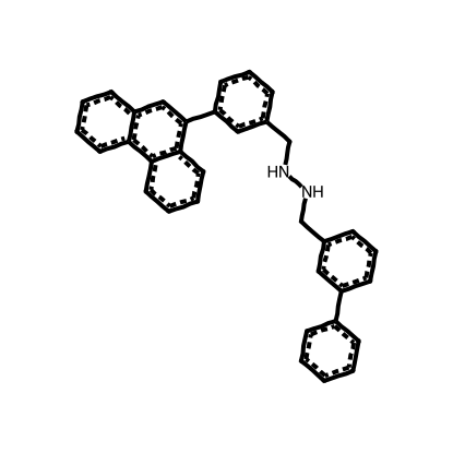 c1ccc(-c2cccc(CNNCc3cccc(-c4cc5ccccc5c5ccccc45)c3)c2)cc1